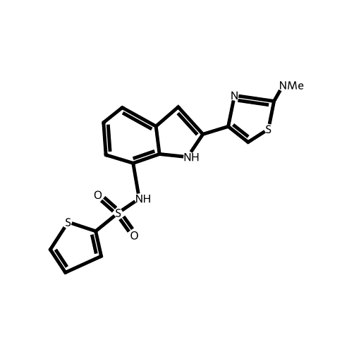 CNc1nc(-c2cc3cccc(NS(=O)(=O)c4cccs4)c3[nH]2)cs1